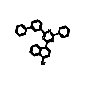 Brc1ccc(-c2nc(-c3ccccc3)nc(-c3cccc(-c4ccccc4)c3)n2)c2ccccc12